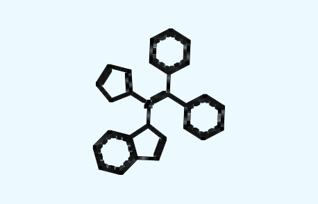 C1=CC[C]([Zr](=[C](c2ccccc2)c2ccccc2)[CH]2C=Cc3ccccc32)=C1